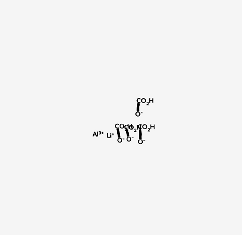 O=C([O-])O.O=C([O-])O.O=C([O-])O.O=C([O-])O.[Al+3].[Li+]